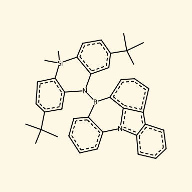 CC(C)(C)c1ccc2c(c1)N(B1c3ccccc3-n3c4ccccc4c4cccc1c43)c1cc(C(C)(C)C)ccc1[Si]2(C)C